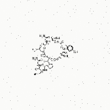 CC[C@H](C)[C@@H]1NC(=O)[C@H](Cc2ccc(O)cc2)NC(=O)[C@@H](N)CSSC[C@@H](C(=O)N2CCC[C@@H]2C(=O)N[C@@H](CC(C)C)C(=O)NCC(N)=O)NC(=O)[C@@H](CC(N)=O)NC(=O)[C@@H](CC(N)=O)NC1=O